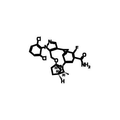 C[C@@H]1[C@H]2CC[C@](OCc3c(C4CC4)cnn3-c3c(Cl)cccc3Cl)(C2)N1c1ccc(F)c(C(N)=O)c1